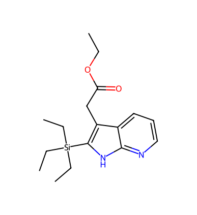 CCOC(=O)Cc1c([Si](CC)(CC)CC)[nH]c2ncccc12